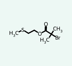 CSCCOC(=O)C(C)(C)Br